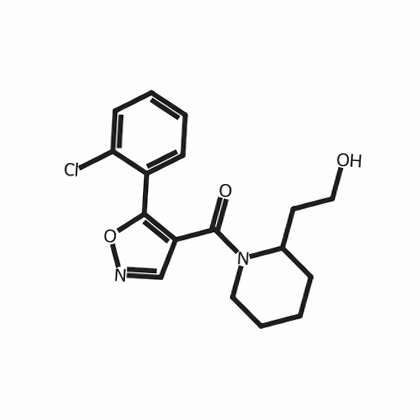 O=C(c1cnoc1-c1ccccc1Cl)N1CCCCC1CCO